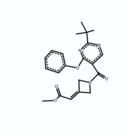 COC(=O)C=C1CN(C(=O)c2cnc(C(C)(C)C)nc2Oc2ccccc2)C1